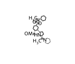 COc1ccc(S(=O)(=O)N(C)c2ccccc2)cc1-c1ccc([C@@H](C)N2CCCCC2)[nH]1